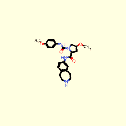 COc1ccc(NC(=O)N2CC(OC)CC2C(=O)Nc2ccc3c(c2)CCNCC3)cc1